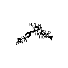 CN1C(=O)CC1OC(=O)N1CCC(CCc2nc(N)c3ncn([C@@H]4O[C@H](C(=O)NC5CC5)C(O)C4O)c3n2)CC1